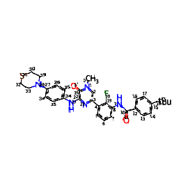 Cn1cc(-c2cccc(NC(=O)c3ccc(C(C)(C)C)cc3)c2F)nc(Nc2ccc(N3CCSCC3)cc2)c1=O